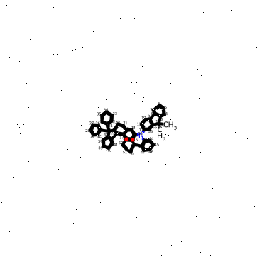 CC1(C)c2ccccc2-c2ccc(N(c3c#cc4c5c(ccc4c3)C(c3ccccc3)(c3ccccc3)c3ccccc3-5)c3ccccc3C3=CC=CCC3)cc21